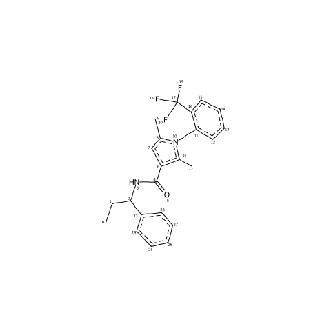 CCC(NC(=O)c1cc(C)n(-c2ccccc2C(F)(F)F)c1C)c1ccccc1